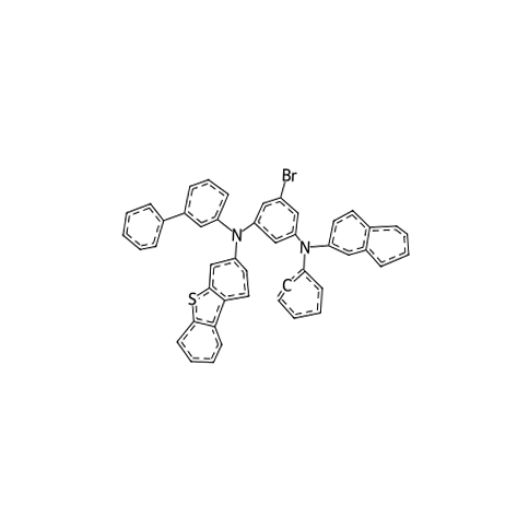 Brc1cc(N(c2ccccc2)c2ccc3ccccc3c2)cc(N(c2cccc(-c3ccccc3)c2)c2ccc3c(c2)sc2ccccc23)c1